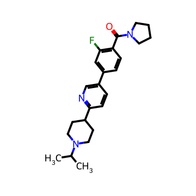 CC(C)N1CCC(c2ccc(-c3ccc(C(=O)N4CCCC4)c(F)c3)cn2)CC1